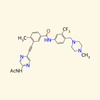 CC(=O)Nc1cnc(C#Cc2cc(C(=O)Nc3ccc(CN4CCN(C)CC4)c(C(F)(F)F)c3)ccc2C)cn1